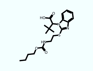 CCCCOC(=O)NCCSc1nc2ccccc2n1C(C(=O)O)C(C)(C)C